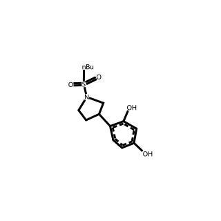 CCCCS(=O)(=O)N1CCC(c2ccc(O)cc2O)C1